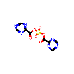 O=C(OS(=O)(=O)OC(=O)c1ncncn1)c1ncncn1